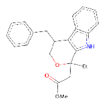 CCC1(CC(=O)OC)OCC(Cc2ccccc2)c2c1[nH]c1ccccc21